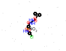 O=C(NCCNC(=O)c1ccc(S(=O)(=O)Nc2ccc(CCl)cc2)c([N+](=O)[O-])c1)OCC1c2ccccc2-c2ccccc21